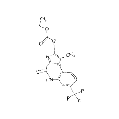 CCOC(=O)Oc1nc2c(=O)[nH]c3cc(C(F)(F)F)ccc3n2c1C